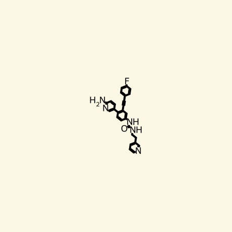 Nc1ccc(-c2ccc(NC(=O)NCCc3cccnc3)cc2C#Cc2ccc(F)cc2)cn1